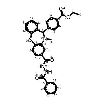 CCOC(=O)c1ccc(C2c3ccccc3Sc3ccc(C(=O)NNC(=O)c4ccccc4)cc3N2C)cc1